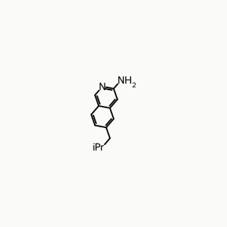 CC(C)Cc1ccc2cnc(N)cc2c1